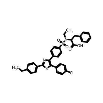 CCc1ccc(-c2nc(-c3ccc(S(=O)(=O)N(CC)C(Cc4ccccc4)C(=O)O)cc3)c(-c3ccc(Cl)cc3)s2)cc1